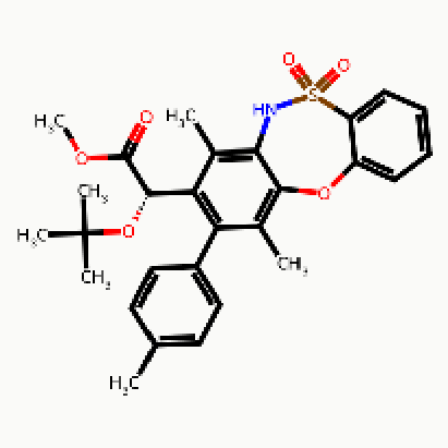 COC(=O)[C@@H](OC(C)(C)C)c1c(C)c2c(c(C)c1-c1ccc(C)cc1)Oc1ccccc1S(=O)(=O)N2